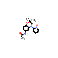 CC(=O)Nc1ccc2c(c1)N(c1cccc[n+]1[O-])CC(C)(C)O2